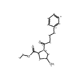 CCOC(=O)C1CC(O)CN1C(=O)CCCc1ccccc1